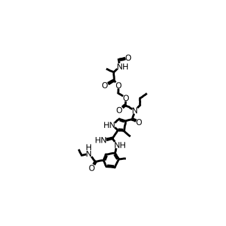 CCCN(C(=O)OCOC(=O)C(C)NC=O)C(=O)c1c[nH]c(C(=N)Nc2cc(C(=O)NCC)ccc2C)c1C